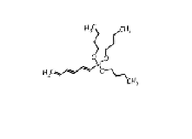 C=C/C=C/C=C/[Si](OCCCC)(OCCCC)OCCCC